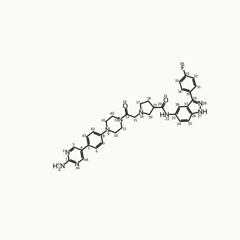 Nc1ncc(-c2ccc(N3CCN(C(=O)CN4CCC(C(=O)Nc5ccc6[nH]nc(-c7ccc(F)cc7)c6c5)C4)CC3)cc2)cn1